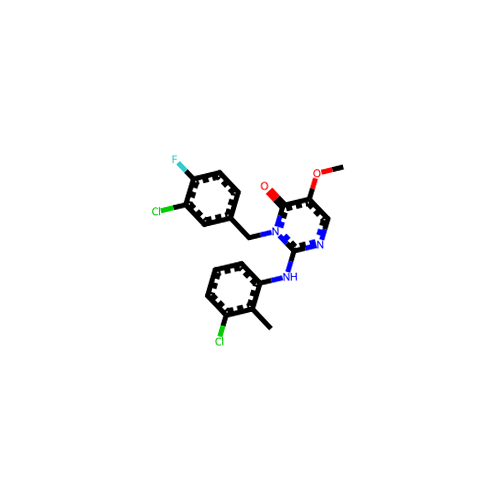 COc1cnc(Nc2cccc(Cl)c2C)n(Cc2ccc(F)c(Cl)c2)c1=O